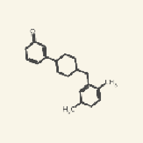 CC1=CCC(C)C=C1CC1CCC(C2=CC(=O)CC=C2)CC1